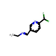 FC(F)c1ccc(/C=N/CC(F)(F)F)cn1